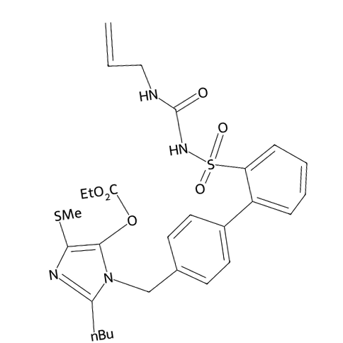 C=CCNC(=O)NS(=O)(=O)c1ccccc1-c1ccc(Cn2c(CCCC)nc(SC)c2OC(=O)OCC)cc1